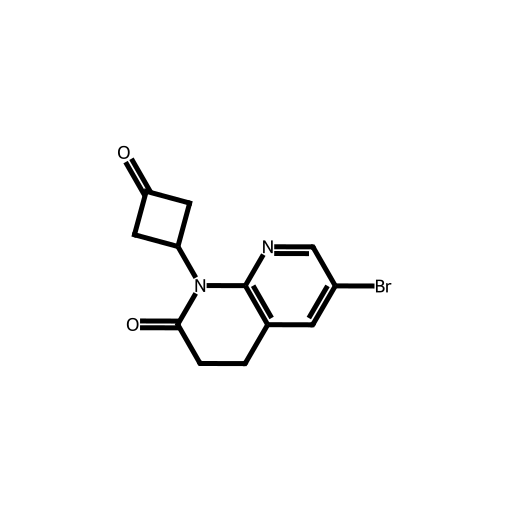 O=C1CC(N2C(=O)CCc3cc(Br)cnc32)C1